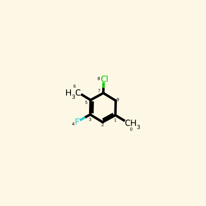 CC1=CC(F)=C(C)C(Cl)C1